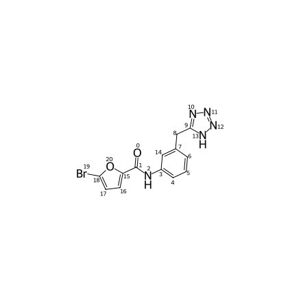 O=C(Nc1cccc(Cc2nnn[nH]2)c1)c1ccc(Br)o1